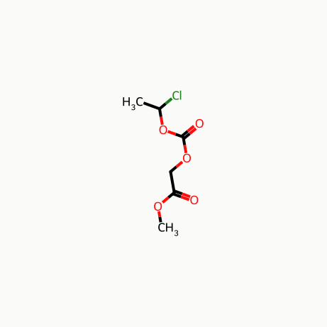 COC(=O)COC(=O)OC(C)Cl